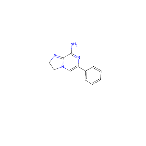 NC1=NC(c2ccccc2)=CN2CCN=C12